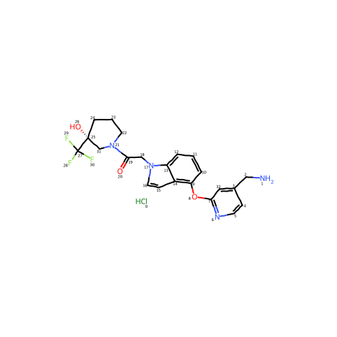 Cl.NCc1ccnc(Oc2cccc3c2ccn3CC(=O)N2CCC[C@](O)(C(F)(F)F)C2)c1